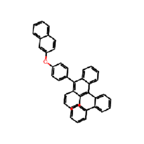 c1ccc(-c2ccccc2-c2c3ccccc3c(-c3ccc(Oc4ccc5ccccc5c4)cc3)c3ccccc23)cc1